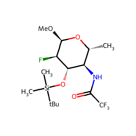 CO[C@H]1O[C@H](C)[C@@H](NC(=O)C(F)(F)F)[C@H](O[Si](C)(C)C(C)(C)C)[C@H]1F